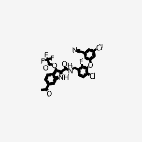 CC(=O)c1ccc2c(OC(=O)C(F)(F)F)c(C(=O)NCc3ccc(Cl)c(Oc4cc(Cl)cc(C#N)c4)c3F)[nH]c2c1